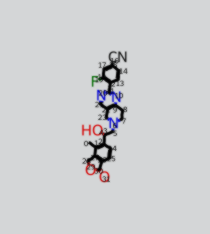 Cc1c(C(O)CN2CCc3nc(-c4ccc(C#N)cc4F)ncc3C2)ccc2c1COC2=O